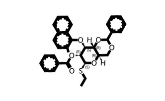 CCS[C@@H]1O[C@@H]2COC(c3ccccc3)O[C@H]2[C@H](Oc2c(C)ccc3ccccc23)[C@H]1OC(=O)c1ccccc1